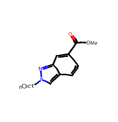 CCCCCCCCn1cc2ccc(C(=O)OC)cc2n1